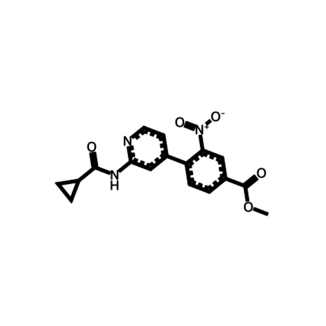 COC(=O)c1ccc(-c2ccnc(NC(=O)C3CC3)c2)c([N+](=O)[O-])c1